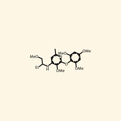 CCC(COC)Nc1cc(C)nc(Oc2c(OC)cc(OC)cc2OC)c1OC